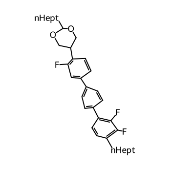 CCCCCCCc1ccc(-c2ccc(-c3ccc(C4COC(CCCCCCC)OC4)c(F)c3)cc2)c(F)c1F